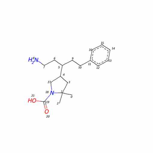 CC1(C)CC(C(CCN)CCc2ccccc2)CN1C(=O)O